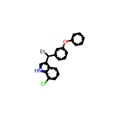 [CH2]CC(c1cccc(Oc2ccccc2)c1)c1c[nH]c2c(Cl)cccc12